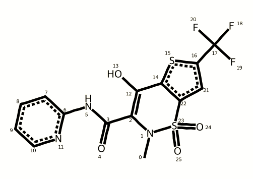 CN1C(C(=O)Nc2ccccn2)=C(O)c2sc(C(F)(F)F)cc2S1(=O)=O